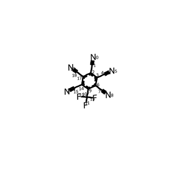 N#Cc1c(C#N)c(C#N)c(C(F)(F)F)c(C#N)c1C#N